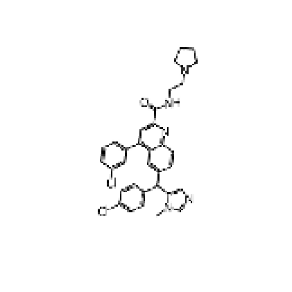 Cn1cncc1C(c1ccc(Cl)cc1)c1ccc2nc(C(=O)NCCN3CCCC3)cc(-c3cccc(Cl)c3)c2c1